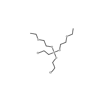 CCOCCO[Si](CCCl)(OCCCl)OCCOCC